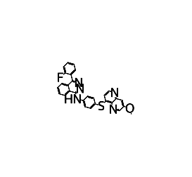 COc1cnc2c(Sc3ccc(Nc4nnc(-c5ccccc5F)c5ccccc45)cc3)ccnc2c1